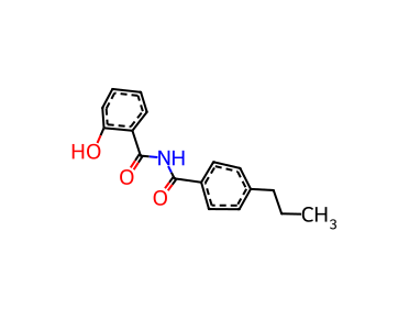 CCCc1ccc(C(=O)NC(=O)c2ccccc2O)cc1